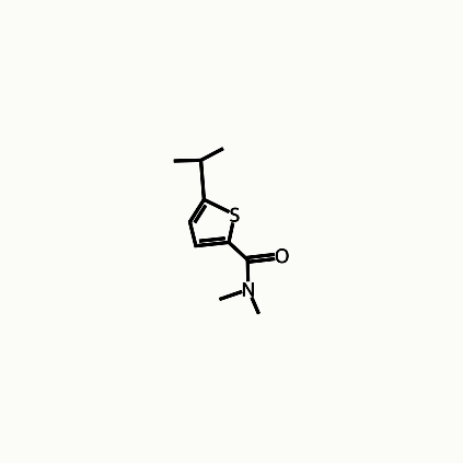 CC(C)c1ccc(C(=O)N(C)C)s1